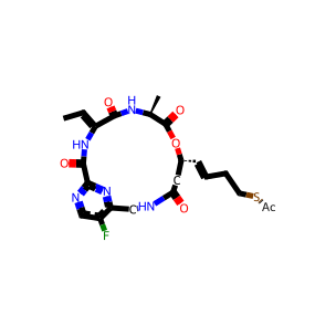 C/C=C1\NC(=O)c2ncc(F)c(n2)CNC(=O)C[C@@H](/C=C/CCSC(C)=O)OC(=O)[C@H](C)NC1=O